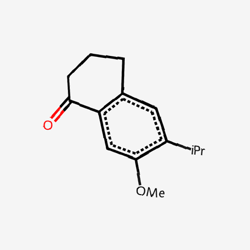 COc1cc2c(cc1C(C)C)CCCC2=O